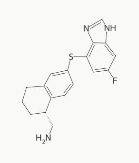 NC[C@@H]1CCCc2cc(Sc3cc(F)cc4[nH]cnc34)ccc21